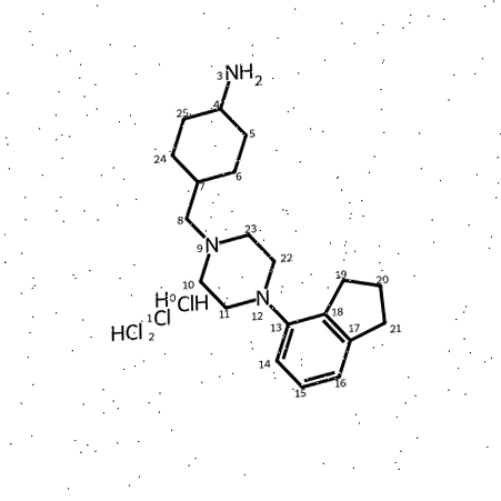 Cl.Cl.Cl.NC1CCC(CN2CCN(c3cccc4c3CCC4)CC2)CC1